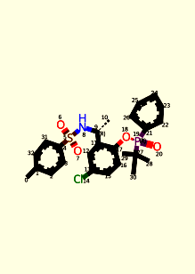 Cc1ccc(S(=O)(=O)N[C@H](C)c2cc(Cl)ccc2O[P@@](=O)(c2ccccc2)C(C)(C)C)cc1